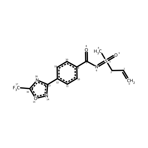 C=CCS(C)(=O)=NC(=O)c1ccc(-c2noc(C(F)(F)F)n2)cc1